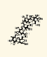 CC1C(CO)OC(OC(COO)C(O)C(O)C(O)OC2C(CO)OC(OC(CCO)/C(O)=C(/O)C(O)OC(CCO)/C(O)=C(\O)C(O)OC(CCO)/C(O)=C(/O)C(O)O)C(O)C2O)C(O)C1O